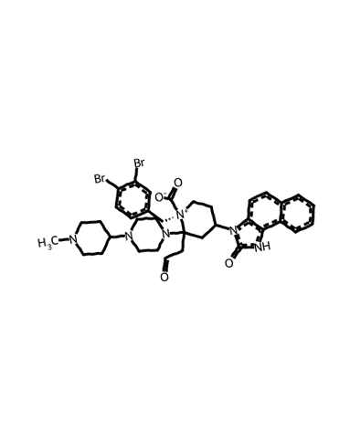 CN1CCC(N2CCN(C3(CC=O)CC(n4c(=O)[nH]c5c6ccccc6ccc54)CC[N@+]3(Cc3ccc(Br)c(Br)c3)C(=O)[O-])CC2)CC1